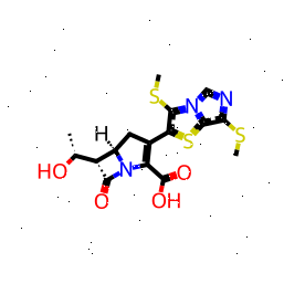 CSc1ncn2c(SC)c(C3=C(C(=O)O)N4C(=O)[C@H]([C@@H](C)O)[C@H]4C3)sc12